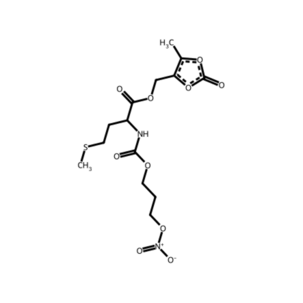 CSCCC(NC(=O)OCCCO[N+](=O)[O-])C(=O)OCc1oc(=O)oc1C